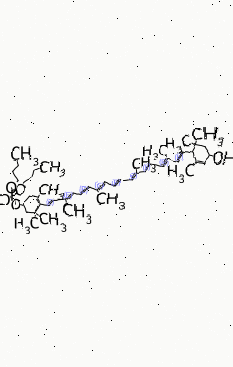 CCCCOP(=O)(OCCCC)OC1CC(C)=C(/C=C/C(C)=C/C=C/C(C)=C/C=C/C=C(C)/C=C/C=C(C)/C=C/C2C(C)=CC(O)CC2(C)C)C(C)(C)C1